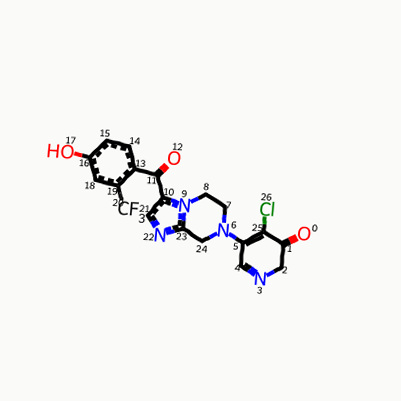 O=C1CN=CC(N2CCn3c(C(=O)c4ccc(O)cc4C(F)(F)F)cnc3C2)=C1Cl